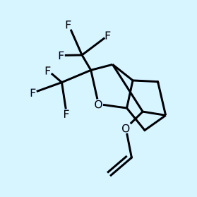 C=COC1C2CC3OC(C(F)(F)F)(C(F)(F)F)C1C3C2